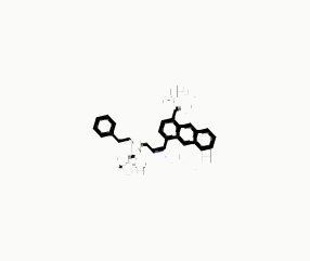 CC(C)(C)OC(=O)c1ccc(/C(=C\CN(CCc2ccccc2)C(=O)OC(C)(C)C)C(=O)O)c2cc3ccccc3cc12